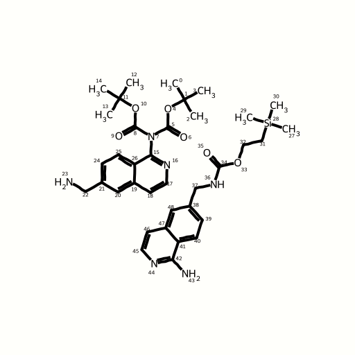 CC(C)(C)OC(=O)N(C(=O)OC(C)(C)C)c1nccc2cc(CN)ccc12.C[Si](C)(C)CCOC(=O)NCc1ccc2c(N)nccc2c1